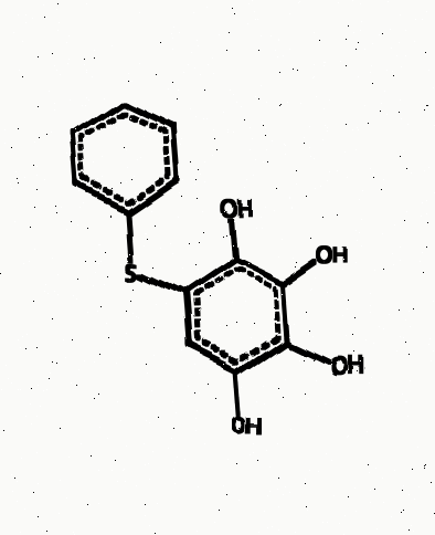 Oc1cc(Sc2ccccc2)c(O)c(O)c1O